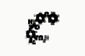 CC(=O)N1CCN(CC(=O)Nc2ccc(Oc3ccccc3)cc2)CC1C(=O)O